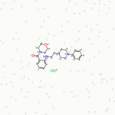 Cl.O=C(c1ccccc1NCCN1CCN(c2ccccc2)CC1)N1CCOCC1